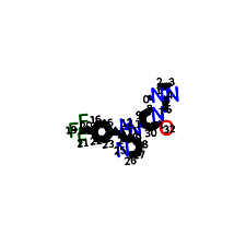 Cn1ccnc1Cn1ccc(-n2nc(-c3ccc(C(F)(F)F)cc3)c3ncccc32)cc1=O